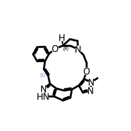 Cn1ncc2c1OCCN1CC[C@H](C1)Oc1ccccc1/C=C/c1n[nH]c3ccc-2cc13